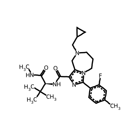 CNC(=O)[C@@H](NC(=O)c1nc(-c2ccc(C)cc2F)n2c1CN(CC1CC1)CCC2)C(C)(C)C